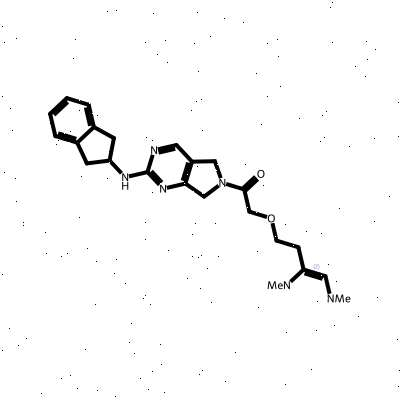 CN/C=C(/CCOCC(=O)N1Cc2cnc(NC3Cc4ccccc4C3)nc2C1)NC